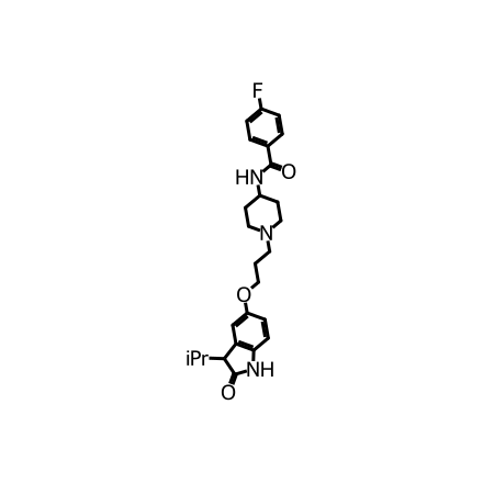 CC(C)C1C(=O)Nc2ccc(OCCCN3CCC(NC(=O)c4ccc(F)cc4)CC3)cc21